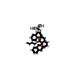 CCCC[P+](c1cccc2ccccc12)(c1cccc2ccccc12)c1cccc2ccccc12.[O-]P(O)O